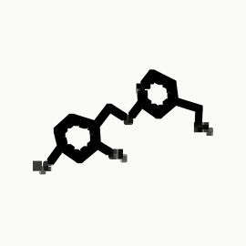 Cc1ccc(COc2cc(CN)ccn2)c(C)c1